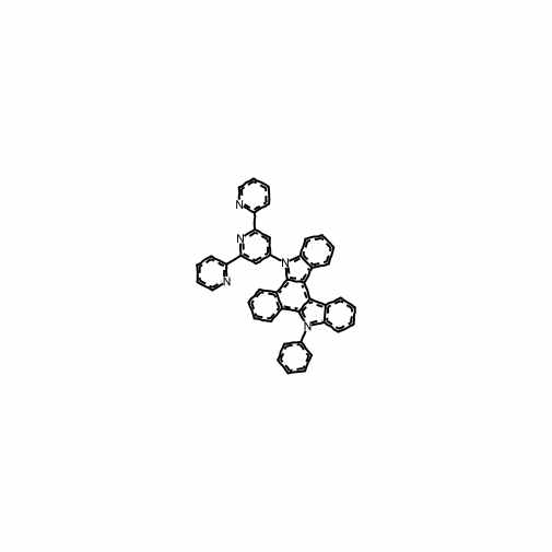 c1ccc(-n2c3ccccc3c3c4c5ccccc5n(-c5cc(-c6ccccn6)nc(-c6ccccn6)c5)c4c4ccccc4c32)cc1